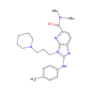 CCCCN(CCCC)C(=O)c1ccc2nc(Nc3ccc(C)cc3)n(CCCN3CCCCC3)c2n1